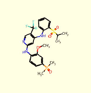 COc1cc(P(C)(C)=O)ccc1Nc1cc(Nc2ccccc2S(=O)(=O)C(C)C)c(C(F)(F)F)cn1